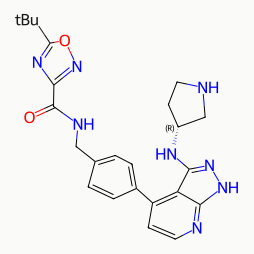 CC(C)(C)c1nc(C(=O)NCc2ccc(-c3ccnc4[nH]nc(N[C@@H]5CCNC5)c34)cc2)no1